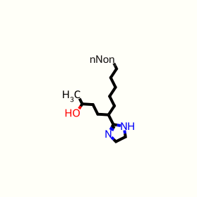 CCCCCCCCCCCCCCC(CCC(C)O)C1=NCCN1